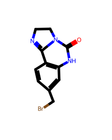 O=C1Nc2cc(CBr)ccc2C2=NCCN12